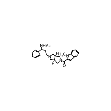 CC(=O)NC(CCN1C[C@@H]2CN(C(=O)c3cc4ccccc4n3C)C[C@@H]2C1)c1ccccc1